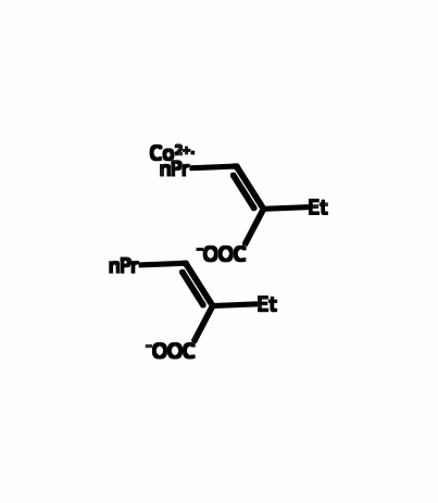 CCCC=C(CC)C(=O)[O-].CCCC=C(CC)C(=O)[O-].[Co+2]